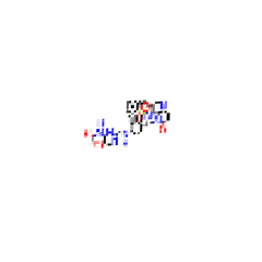 COc1cnc2ccc(=O)n(CC(NS(=O)(=O)c3ccccc3[N+](=O)[O-])[C@H]3CC[C@H](NCc4ncc5c(n4)NC(=O)CO5)CC3)c2c1